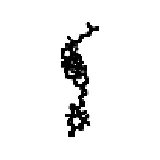 CC(C)CCC[C@@H](C)[C@H]1CC[C@H]2[C@@H]3CC=C4C[C@@H](OCOC(=O)C5(C)C(C)(C)OC(=O)OC5(C)C)CC[C@]4(C)[C@H]3CC[C@]12C